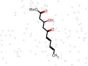 CC=CC=CC(=O)CC(O)CC(=O)OC